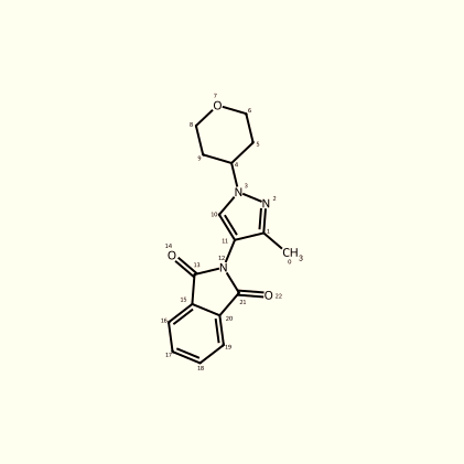 Cc1nn(C2CCOCC2)cc1N1C(=O)c2ccccc2C1=O